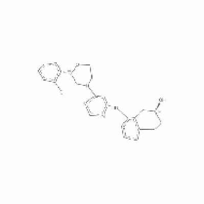 O[C@H]1CCc2cccc(Nc3cc(N4CCO[C@@H](c5ccccc5Cl)C4)ncn3)c2C1